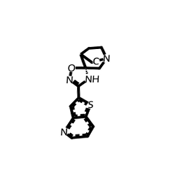 c1cnc2cc(C3=NO[C@@]4(CN5CCC4CC5)N3)sc2c1